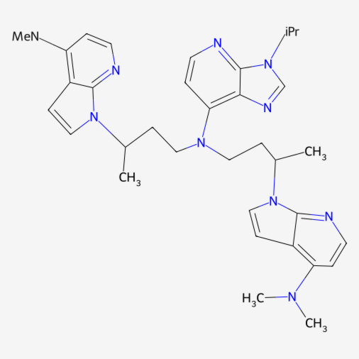 CNc1ccnc2c1ccn2C(C)CCN(CCC(C)n1ccc2c(N(C)C)ccnc21)c1ccnc2c1ncn2C(C)C